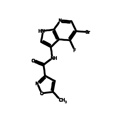 Cc1cc(C(=O)Nc2c[nH]c3ncc(Br)c(F)c23)no1